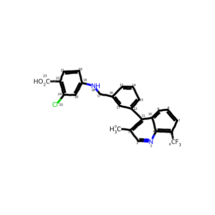 Cc1cnc2c(C(F)(F)F)cccc2c1-c1cccc(CNc2ccc(C(=O)O)c(Cl)c2)c1